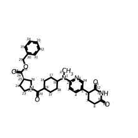 CN(c1ccc(C2CCC(=O)NC2=O)cn1)C1CCC(C(=O)N2CC[C@@H](C(=O)OCc3ccccc3)C2)CC1